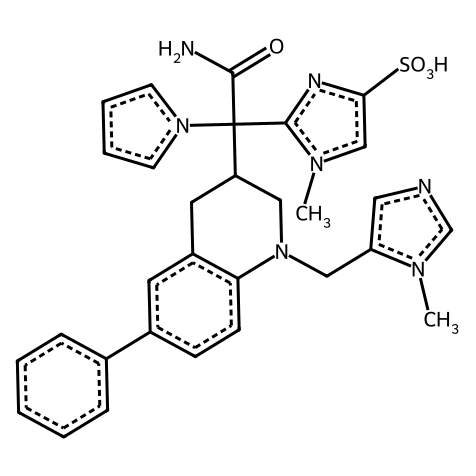 Cn1cncc1CN1CC(C(C(N)=O)(c2nc(S(=O)(=O)O)cn2C)n2cccc2)Cc2cc(-c3ccccc3)ccc21